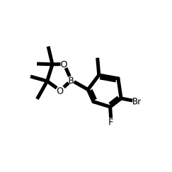 Cc1cc(Br)c(F)cc1B1OC(C)(C)C(C)(C)O1